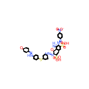 Nc1c(N=Nc2ccc([N+](=O)[O-])cc2)c(S(=O)(=O)O)cc2c1C(=O)C(=NNc1ccc(Sc3ccc(NN=C4C=CC(=O)C=C4)cc3)cc1)C(S(=O)(=O)O)=C2